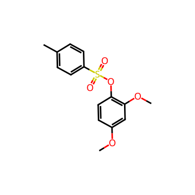 COc1ccc(OS(=O)(=O)c2ccc(C)cc2)c(OC)c1